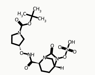 CC(C)(C)OC(=O)N1CC[C@@H](ONC(=O)[C@@H]2CC[C@@H]3CN2C(=O)N3OS(=O)(=O)O)C1